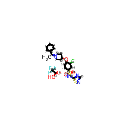 CC(c1ccccc1)N1CCC(Oc2ccc(S(=O)(=O)Nc3ncns3)cc2Cl)CC1.O=C(O)C(F)(F)F